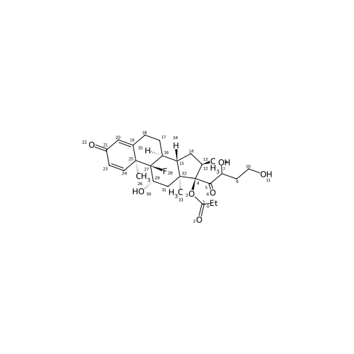 CCC(=O)O[C@]1(C(=O)C(O)CCO)[C@H](C)C[C@H]2[C@@H]3CCC4=CC(=O)C=C[C@]4(C)[C@@]3(F)[C@@H](O)C[C@@]21C